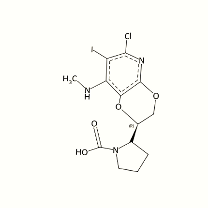 CNc1c(I)c(Cl)nc2c1O[C@H](C1CCCN1C(=O)O)CO2